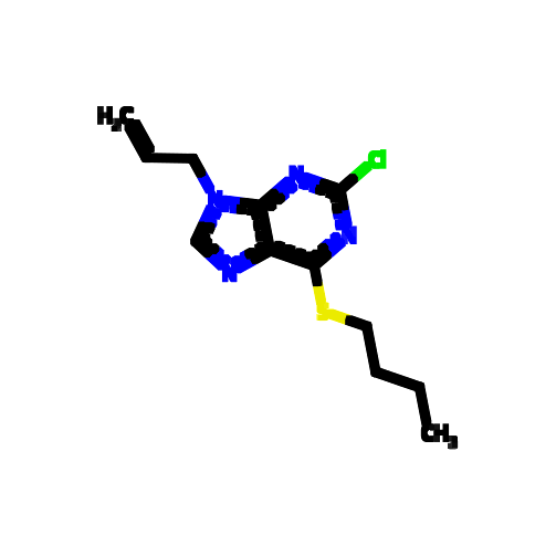 C=CCn1cnc2c(SCCCC)nc(Cl)nc21